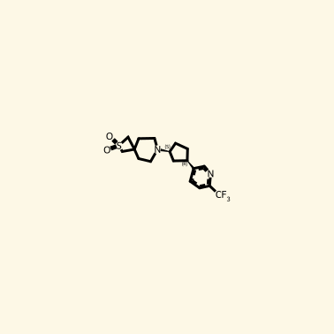 O=S1(=O)CC2(CCN([C@H]3CC[C@@H](c4ccc(C(F)(F)F)nc4)C3)CC2)C1